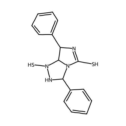 SC1=NC(c2ccccc2)C2N(S)NC(c3ccccc3)N12